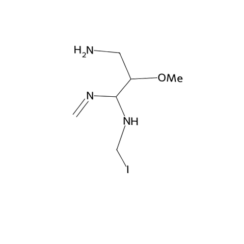 C=NC(NCI)C(CN)OC